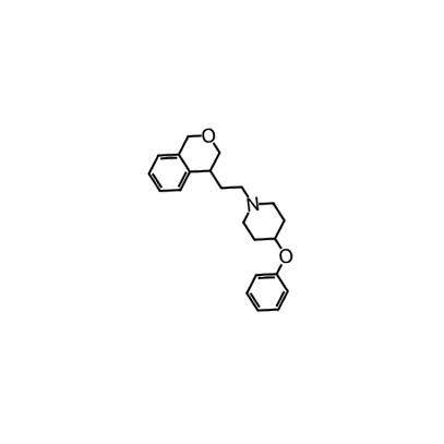 c1ccc(OC2CCN(CCC3COCc4ccccc43)CC2)cc1